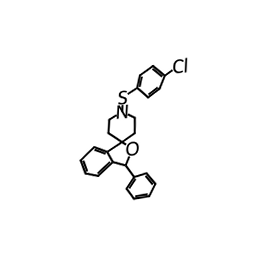 Clc1ccc(SN2CCC3(CC2)OC(c2ccccc2)c2ccccc23)cc1